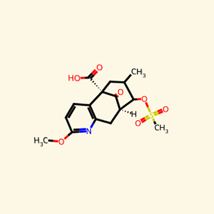 COc1ccc2c(n1)C[C@H]1C(=O)[C@]2(C(=O)O)CC(C)C1OS(C)(=O)=O